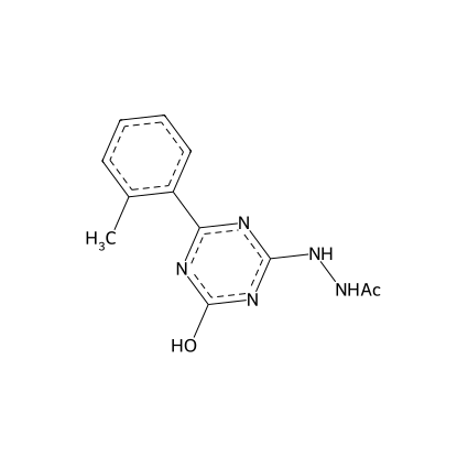 CC(=O)NNc1nc(O)nc(-c2ccccc2C)n1